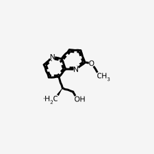 [CH2][C@H](CO)c1ccnc2ccc(OC)nc12